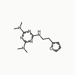 CN(C)c1nc(NCCc2ccco2)nc(N(C)C)n1